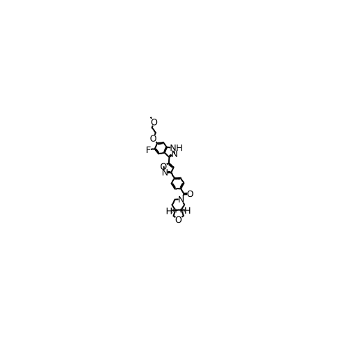 COCCOc1cc2[nH]nc(-c3cc(-c4ccc(C(=O)N5CC[C@H]6COC[C@H]6C5)cc4)no3)c2cc1F